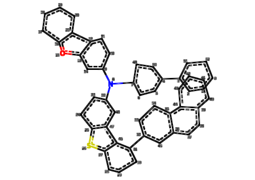 c1ccc(-c2ccc(N(c3ccc4c(c3)oc3ccccc34)c3ccc4sc5cccc(-c6ccc7c(ccc8ccccc87)c6)c5c4c3)cc2)cc1